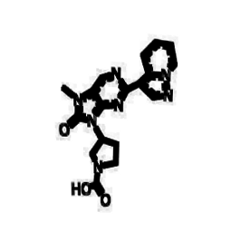 Cn1c(=O)n(C2CCN(C(=O)O)C2)c2nc(-c3cnn4ccccc34)ncc21